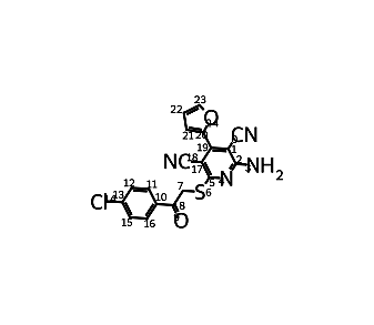 N#Cc1c(N)nc(SCC(=O)c2ccc(Cl)cc2)c(C#N)c1-c1ccco1